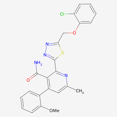 COc1ccccc1-c1cc(C)nc(-c2nnc(COc3ccccc3Cl)s2)c1C(N)=O